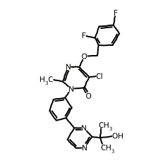 Cc1nc(OCc2ccc(F)cc2F)c(Cl)c(=O)n1-c1cccc(-c2ccnc(C(C)(C)O)n2)c1